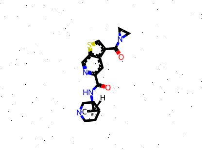 O=C(N[C@H]1CN2CCC1CC2)c1cc2c(C(=O)N3CC3)csc2cn1